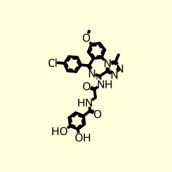 COc1ccc2c(c1)C(c1ccc(Cl)cc1)=N[C@@H](NC(=O)CNC(=O)c1ccc(O)c(O)c1)c1nnc(C)n1-2